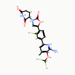 Cc1cc(-c2ccc(-c3cn(C4CCC(=O)NC4=O)c(=O)o3)c(F)c2)nc(N)c1OC(F)F